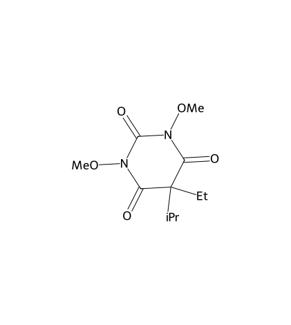 CCC1(C(C)C)C(=O)N(OC)C(=O)N(OC)C1=O